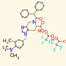 Cc1cc(Cn2cnc3c2CC(C(=O)O)N(C(=O)C(c2ccccc2)c2ccccc2)C3)ccc1N(C)C.O=C(O)C(F)(F)F.O=C(O)C(F)(F)F